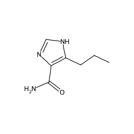 CCCc1[nH]cnc1C(N)=O